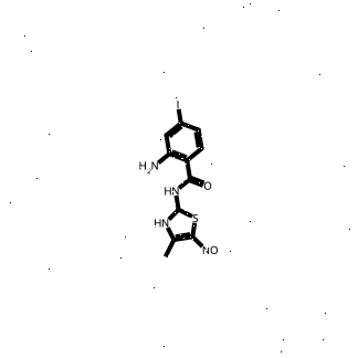 CC1=C(N=O)SC(NC(=O)c2ccc(I)cc2N)N1